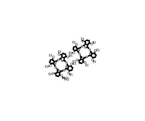 CCOc1ccc(OCC)c2c1-c1nc-2nc2[nH]c(nc3nc(nc4[nH]c(n1)c1c(OCC)ccc(OCC)c41)-c1c(OCC)ccc(OCC)c1-3)c1c(OCC)ccc(OCC)c21.CCOc1ccc(OCC)c2c1-c1nc-2nc2[nH]c(nc3nc(nc4[nH]c(n1)c1c(OCC)ccc(OCC)c41)-c1c(OCC)ccc(OCC)c1-3)c1c(OCC)ccc(OCC)c21.Cl.Cl